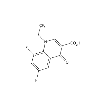 O=C(O)c1cn(CC(F)(F)F)c2c(F)cc(F)cc2c1=O